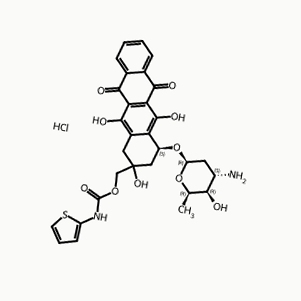 C[C@H]1O[C@@H](O[C@H]2CC(O)(COC(=O)Nc3cccs3)Cc3c(O)c4c(c(O)c32)C(=O)c2ccccc2C4=O)C[C@H](N)[C@H]1O.Cl